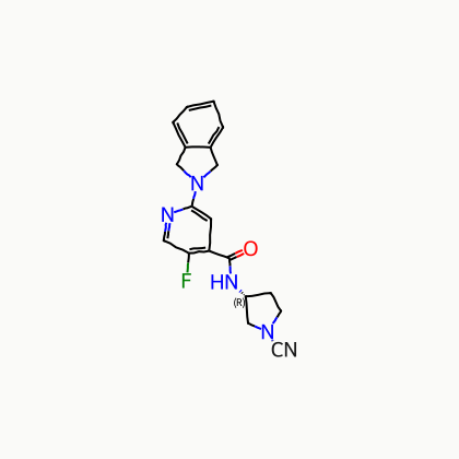 N#CN1CC[C@@H](NC(=O)c2cc(N3Cc4ccccc4C3)ncc2F)C1